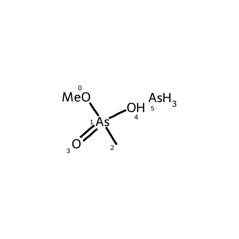 CO[As](C)(=O)O.[AsH3]